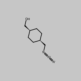 [N-]=[N+]=NC[C@H]1CC[C@@H](CO)CC1